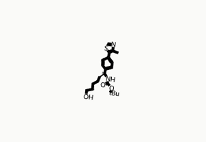 Cc1ncsc1-c1ccc([C@H](CCCCCO)NC(=O)OC(C)(C)C)cc1